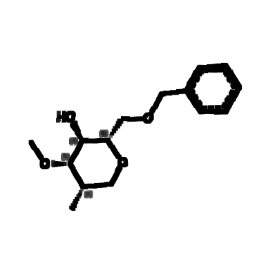 CO[C@@H]1[C@@H](O)[C@H](COCc2ccccc2)OC[C@@H]1C